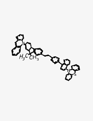 CC1(C)c2cc(/C=C/c3ccc(-c4ccc(N5c6ccccc6Sc6ccccc65)c5ccccc45)cc3)ccc2C2C=CC(N3c4ccccc4Cc4ccccc43)=CC21